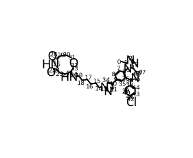 Cc1nnc2n1-c1ccc(-c3cnn(CCCCCCNC4CCC(=O)NC(=O)CCCOC4)c3)cc1C(c1ccc(Cl)cc1)=N[C@H]2C